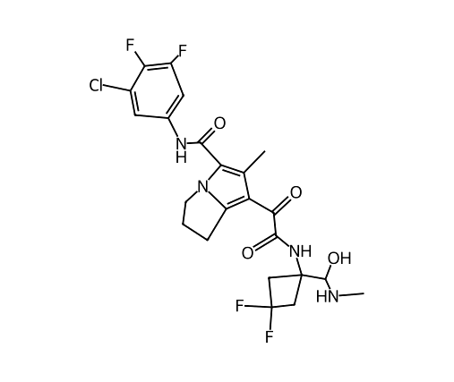 CNC(O)C1(NC(=O)C(=O)c2c(C)c(C(=O)Nc3cc(F)c(F)c(Cl)c3)n3c2CCC3)CC(F)(F)C1